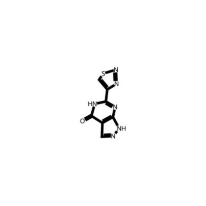 O=c1[nH]c(-c2csnn2)nc2[nH]ncc12